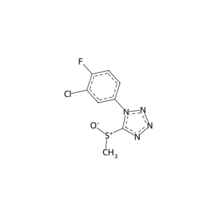 C[S+]([O-])c1nnnn1-c1ccc(F)c(Cl)c1